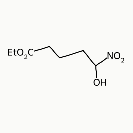 CCOC(=O)CCCC(O)[N+](=O)[O-]